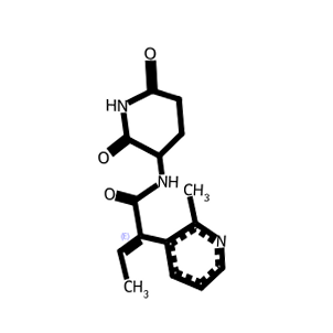 C/C=C(/C(=O)NC1CCC(=O)NC1=O)c1cccnc1C